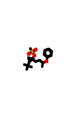 CC(CCC1(OS(C)(=O)=O)CC1[Si](C)(C)C)Oc1ccccc1